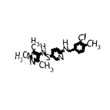 Cc1ccc(CNc2ccc(SNc3c(C)nn(C)c3C)cn2)cc1Cl